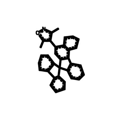 Cc1noc(C)c1-c1cc2c(c3ccccc13)-c1ccccc1C21c2ccccc2-c2ccccc21